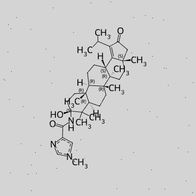 CC(C)C1=C2[C@H]3CC[C@@H]4[C@@]5(C)CC[C@@](O)(NC(=O)c6cn(C)cn6)C(C)(C)[C@@H]5CC[C@@]4(C)[C@]3(C)CC[C@@]2(C)CC1=O